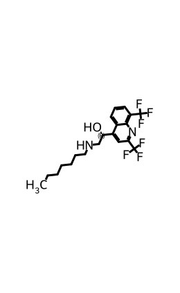 CCCCCCCNC[C@H](O)c1cc(C(F)(F)F)nc2c(C(F)(F)F)cccc12